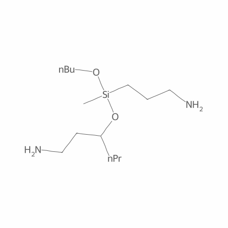 CCCCO[Si](C)(CCCN)OC(CCC)CCN